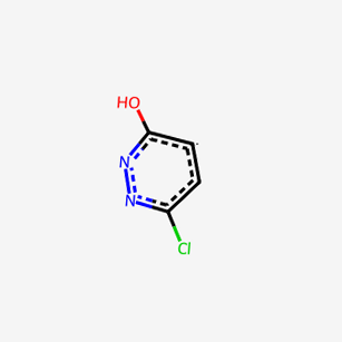 Oc1[c]cc(Cl)nn1